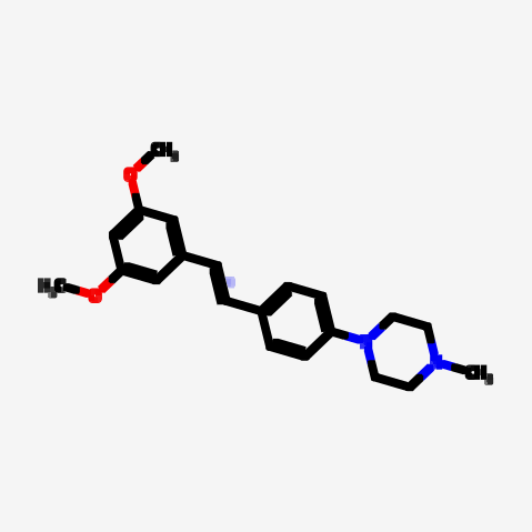 COc1cc(/C=C/c2ccc(N3CCN(C)CC3)cc2)cc(OC)c1